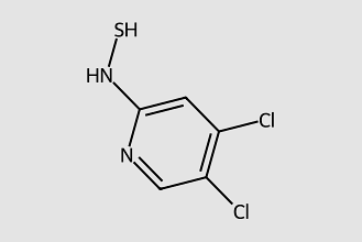 SNc1cc(Cl)c(Cl)cn1